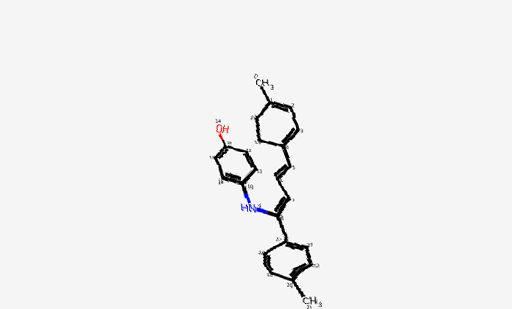 CC1=CC=C(/C=C/C=C(\Nc2ccc(O)cc2)c2ccc(C)cc2)CC1